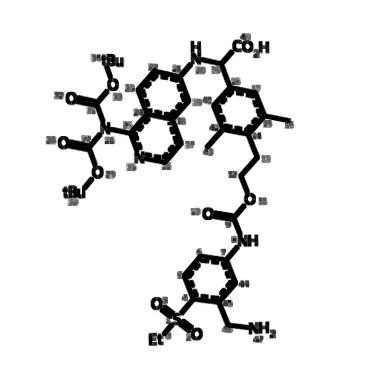 CCS(=O)(=O)c1ccc(NC(=O)OCCc2c(C)cc(C(Nc3ccc4c(N(C(=O)OC(C)(C)C)C(=O)OC(C)(C)C)nccc4c3)C(=O)O)cc2C)cc1CN